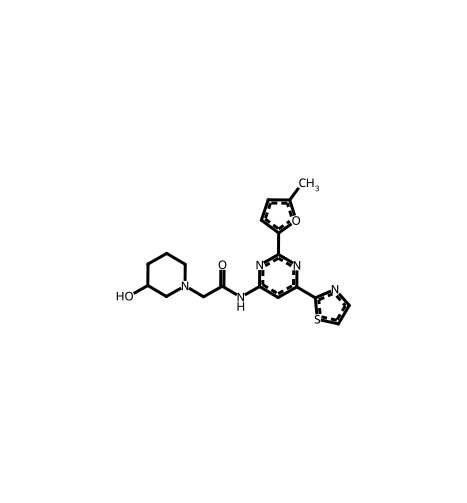 Cc1ccc(-c2nc(NC(=O)CN3CCCC(O)C3)cc(-c3nccs3)n2)o1